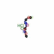 Cc1ccc(COc2ccc(Oc3c(C)cc(/C=C/C(=O)N4CCN(Cc5ccc(CCOc6ccc(F)cc6)cc5)CC4)cc3Cl)nc2)cc1.Cl